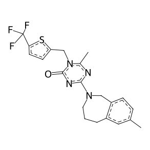 Cc1ccc2c(c1)CCCN(c1nc(C)n(Cc3ccc(C(F)(F)F)s3)c(=O)n1)C2